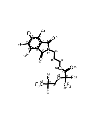 O=C1c2c(F)c(F)c(F)c(F)c2C(=O)N1CCCOC(=O)C(F)(OCC(F)(F)C(F)(F)F)C(F)(F)F